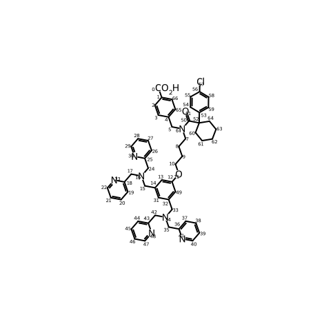 O=C(O)c1ccc(CN(CCCCOc2cc(CN(Cc3ccccn3)Cc3ccccn3)cc(CN(Cc3ccccn3)Cc3ccccn3)c2)C(=O)C2(c3ccc(Cl)cc3)CCCCC2)cc1